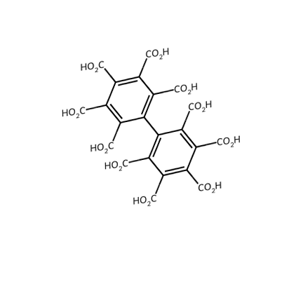 O=C(O)c1c(C(=O)O)c(C(=O)O)c(-c2c(C(=O)O)c(C(=O)O)c(C(=O)O)c(C(=O)O)c2C(=O)O)c(C(=O)O)c1C(=O)O